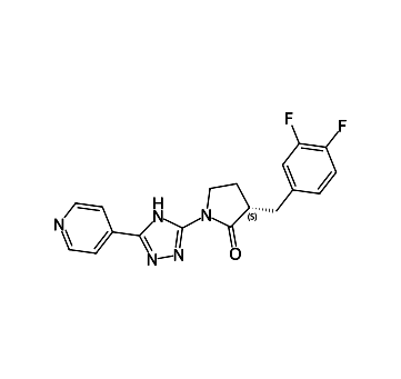 O=C1[C@@H](Cc2ccc(F)c(F)c2)CCN1c1nnc(-c2ccncc2)[nH]1